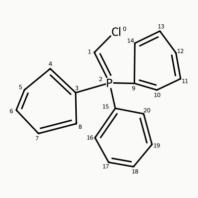 ClC=P(c1ccccc1)(c1ccccc1)c1ccccc1